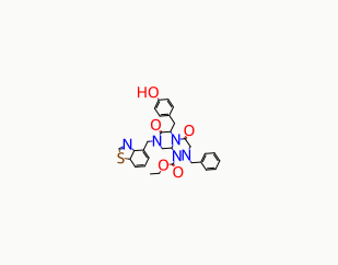 CCOC(=O)N1C2CN(CC3=CC=CC4SC=NC34)C(=O)C(Cc3ccc(O)cc3)N2C(=O)CN1Cc1ccccc1